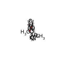 CCOC(=O)N1C2COCC1CC(N1CCC(c3cccnc3OC)CC1)C2